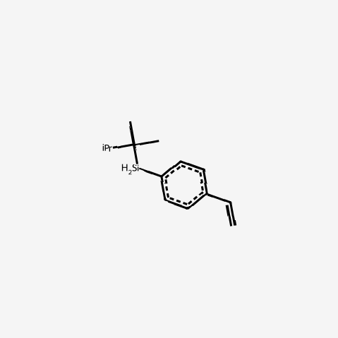 C=Cc1ccc([SiH2]C(C)(C)C(C)C)cc1